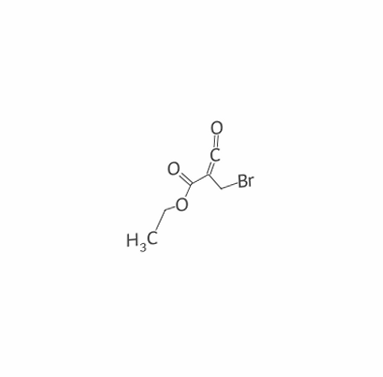 CCOC(=O)C(=C=O)CBr